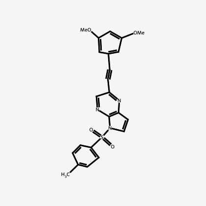 COc1cc(C#Cc2cnc3c(ccn3S(=O)(=O)c3ccc(C)cc3)n2)cc(OC)c1